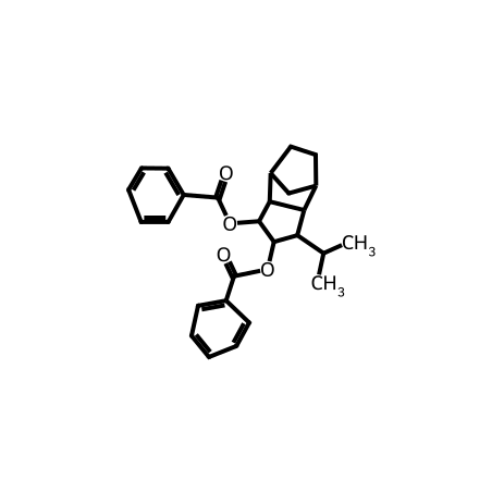 CC(C)C1C(OC(=O)c2ccccc2)C(OC(=O)c2ccccc2)C2C3CCC(C3)C12